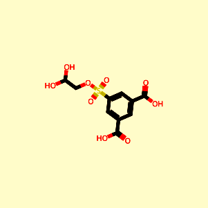 O=C(O)c1cc(C(=O)O)cc(S(=O)(=O)OCC(O)O)c1